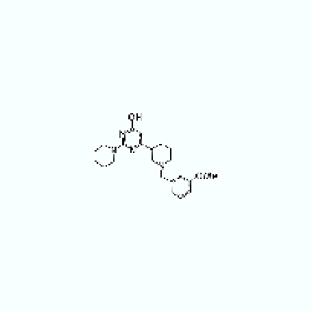 COc1cccc(CN2CCCC(c3cc(O)nc(N4CCCCC4)n3)C2)c1